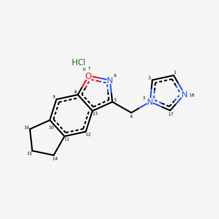 Cl.c1cn(Cc2noc3cc4c(cc23)CCC4)cn1